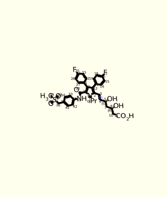 CC(C)n1c(/C=C/[C@@H](O)C[C@@H](O)CC(=O)O)c(-c2ccc(F)cc2)c(-c2ccc(F)cc2)c1C(=O)Nc1ccc(CS(C)(=O)=O)cc1